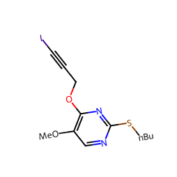 CCCCSc1ncc(OC)c(OCC#CI)n1